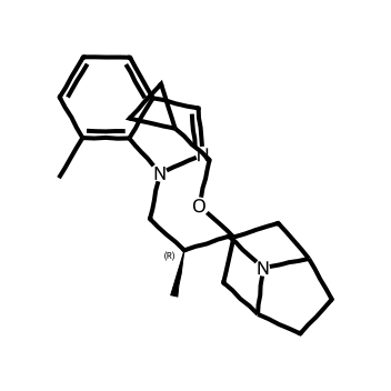 Cc1cccc2cnn(C[C@H](C)CN3C4CCC3CC(OCC3CC3)C4)c12